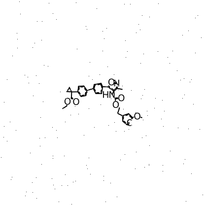 CCOC(=O)C1(c2ccc(-c3ccc(-c4onc(C)c4NC(=O)OCCc4cccc(OC)c4)cc3)cc2)CC1